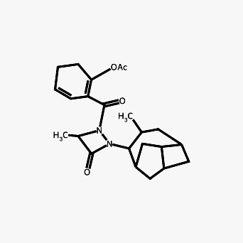 CC(=O)OC1=C(C(=O)N2C(C)C(=O)N2C2C(C)CC3CC4CC2CC34)C=CCC1